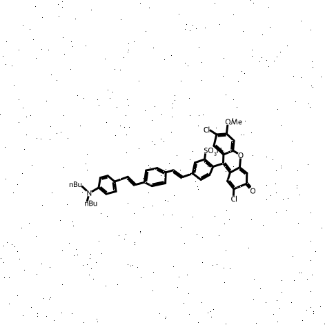 CCCCN(CCCC)c1ccc(/C=C/c2ccc(/C=C/c3ccc(-c4c5cc(Cl)c(=O)cc-5oc5cc(OC)c(Cl)cc45)c(S(=O)(=O)O)c3)cc2)cc1